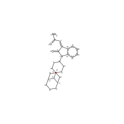 NC(=O)C=C1C(=O)N(C2CCN(C3C4CCCC3CCC4)CC2)c2ccccc21